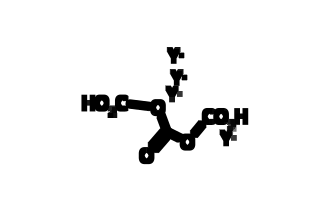 O=C(O)OC(=O)OC(=O)O.[Y].[Y].[Y].[Y]